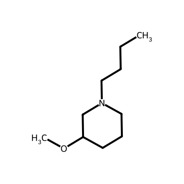 CCCCN1CCCC(OC)C1